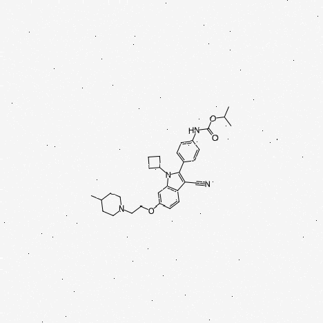 CC1CCN(CCOc2ccc3c(C#N)c(-c4ccc(NC(=O)OC(C)C)cc4)n(C4CCC4)c3c2)CC1